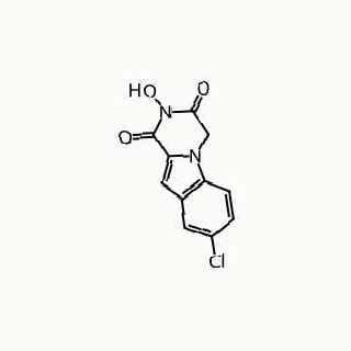 O=C1Cn2c(cc3cc(Cl)ccc32)C(=O)N1O